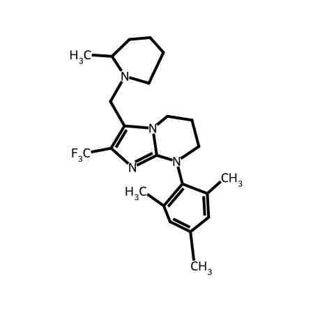 Cc1cc(C)c(N2CCCn3c2nc(C(F)(F)F)c3CN2CCCCC2C)c(C)c1